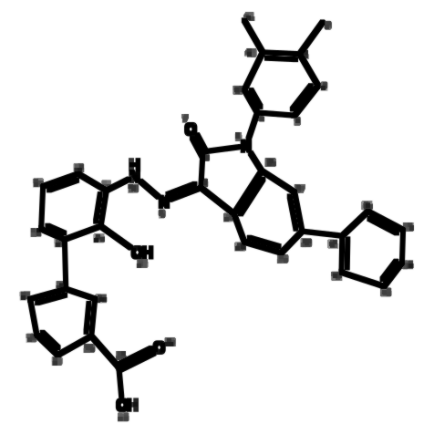 Cc1ccc(N2C(=O)/C(=N\Nc3cccc(-c4cccc(C(=O)O)c4)c3O)c3ccc(-c4ccccc4)cc32)cc1C